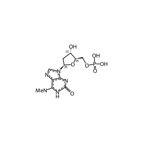 CNc1[nH]c(=O)nc2c1ncn2[C@H]1C[C@H](O)[C@@H](COP(=O)(O)O)O1